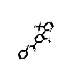 COc1cc(C(=O)Nc2ccccc2)ccc1-c1ncccc1C(F)(F)F